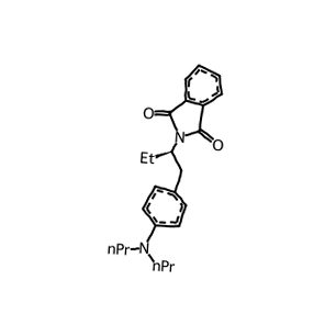 CCCN(CCC)c1ccc(C[C@@H](CC)N2C(=O)c3ccccc3C2=O)cc1